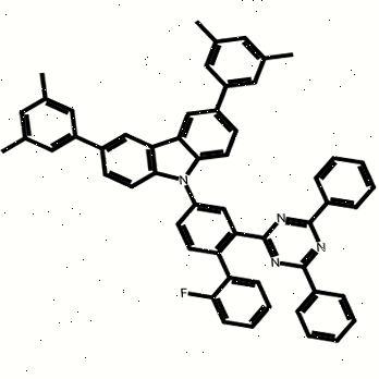 Cc1cc(C)cc(-c2ccc3c(c2)c2cc(-c4cc(C)cc(C)c4)ccc2n3-c2ccc(-c3ccccc3F)c(-c3nc(-c4ccccc4)nc(-c4ccccc4)n3)c2)c1